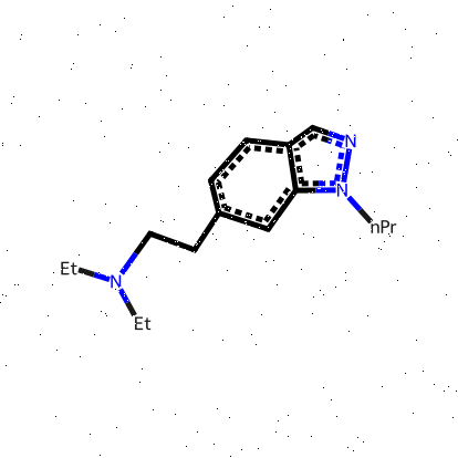 CCCn1ncc2ccc(CCN(CC)CC)cc21